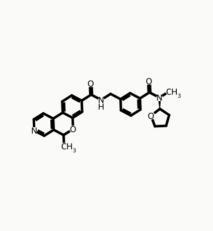 CC1Oc2cc(C(=O)NCc3cccc(C(=O)N(C)[C@H]4CCCO4)c3)ccc2-c2ccncc21